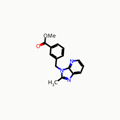 COC(=O)c1cccc(Cn2c(C)nc3cccnc32)c1